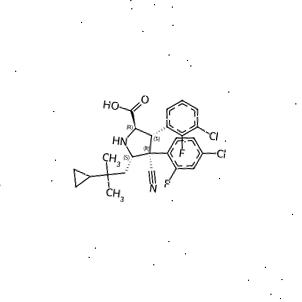 CC(C)(C[C@@H]1N[C@@H](C(=O)O)[C@H](c2cccc(Cl)c2F)[C@@]1(C#N)c1ccc(Cl)cc1F)C1CC1